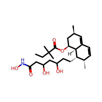 CCC(C)(C)C(=O)O[C@H]1C[C@@H](C)C=C2C=C[C@H](C)[C@H](CCC(O)CC(O)CC(=O)NO)[C@H]21